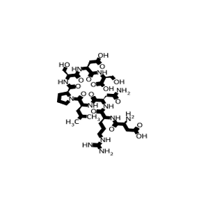 CC(C)C[C@H](NC(=O)[C@H](CC(N)=O)NC(=O)[C@H](CCCNC(=N)N)NC(=O)[C@@H](N)CC(=O)O)C(=O)N1CCC[C@H]1C(=O)N[C@@H](CO)C(=O)N[C@@H](CC(=O)O)C(=O)N[C@@H](CO)C(=O)O